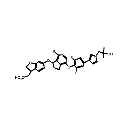 CC(C)(O)Cn1cc(-c2cc(F)c(Oc3ccc(F)c4c3CC[C@H]4Oc3ccc4c(c3)OCC4CC(=O)O)c(F)c2)cn1